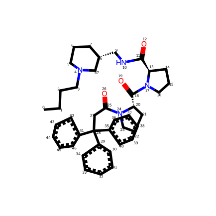 CCCCN1CCC[C@H](CNC(=O)[C@H]2CCCN2C(=O)[C@@H]2CCCN2C(=O)CC(c2ccccc2)(c2ccccc2)c2ccccc2)C1